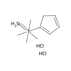 Cl.Cl.[CH3][Ti]([CH3])([CH3])([CH3])(=[SiH2])[C]1=CC=CC1